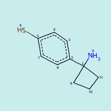 NC1(c2ccc(S)cc2)CCC1